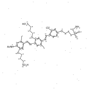 CC(=O)Nc1cc(C)c(N=Nc2cc(C)c(N=Nc3ccc(OCCCS(=O)(=O)ON)cc3Cl)cc2OCCCS(=O)(=O)O)cc1OCCCS(=O)(=O)O